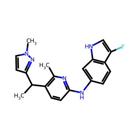 Cc1nc(Nc2ccc3c(F)c[nH]c3c2)ccc1C(C)c1ccn(C)n1